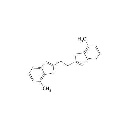 Cc1cccc2c1[CH]C(CCC1=Cc3cccc(C)c3[CH]1)=C2